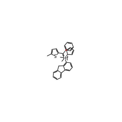 Cc1ccc([C](c2ccccc2)=[Hf]([CH3])([CH3])([c]2cccc3c2Cc2ccccc2-3)[CH]2C=CC=C2)s1